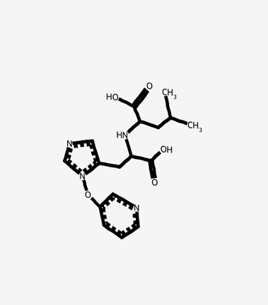 CC(C)CC(NC(Cc1cncn1Oc1cccnc1)C(=O)O)C(=O)O